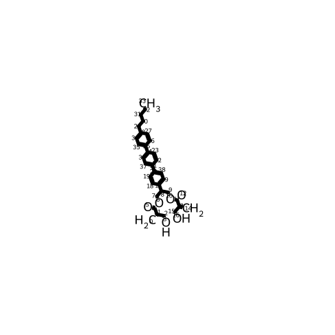 C=C(CO)C(=O)OCC(COC(=O)C(=C)CO)c1ccc(-c2ccc(-c3ccc(CCCCC)cc3)cc2)cc1